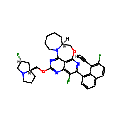 C#Cc1c(F)ccc2cccc(-c3nc4c5c(nc(OC[C@@]67CCCN6C[C@H](F)C7)nc5c3F)N3CCCCC[C@H]3CO4)c12